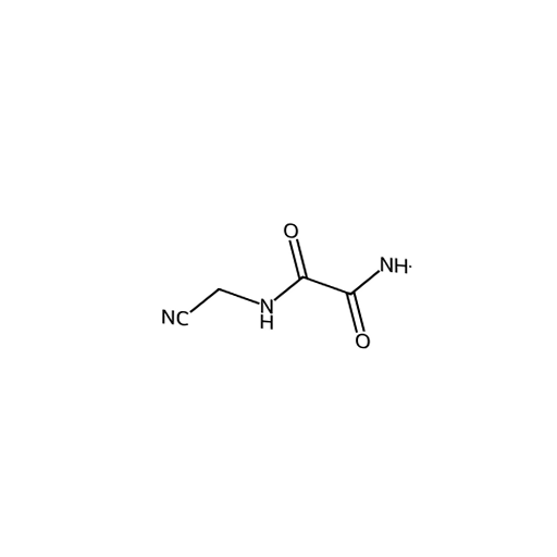 N#CCNC(=O)C([NH])=O